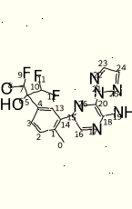 Cc1ccc(C(O)(C(O)F)C(F)F)cc1-c1cnc(N)c(-n2nccn2)n1